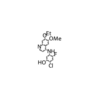 CCOc1cc2nccc(Nc3cc(O)c(Cl)cc3F)c2cc1OC